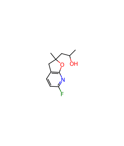 CC(O)CC1(C)Cc2ccc(F)nc2O1